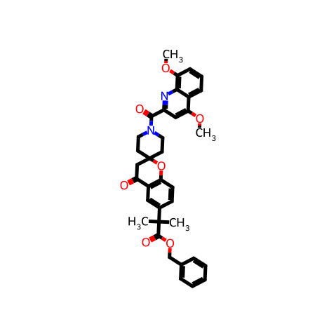 COc1cc(C(=O)N2CCC3(CC2)CC(=O)c2cc(C(C)(C)C(=O)OCc4ccccc4)ccc2O3)nc2c(OC)cccc12